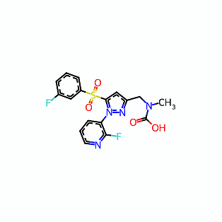 CN(Cc1cc(S(=O)(=O)c2cccc(F)c2)n(-c2cccnc2F)n1)C(=O)O